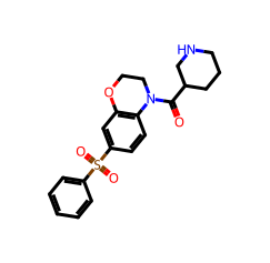 O=C(C1CCCNC1)N1CCOc2cc(S(=O)(=O)c3ccccc3)ccc21